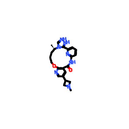 C[C@H]1CCCOc2ncc(C3CN(C)C3)cc2C(=O)Nc2cccc(n2)C(=N)N1C=N